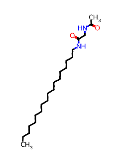 CCCCCCCCCCCCCCCCCCNC(=O)CNC(C)=O